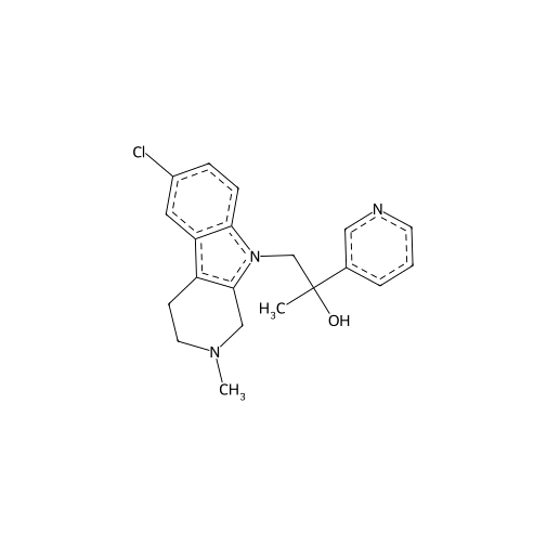 CN1CCc2c(n(CC(C)(O)c3cccnc3)c3ccc(Cl)cc23)C1